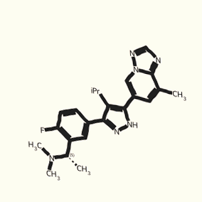 Cc1cc(-c2[nH]nc(-c3ccc(F)c([C@H](C)N(C)C)c3)c2C(C)C)cn2ncnc12